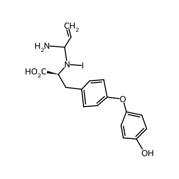 C=CC(N)N(I)[C@@H](Cc1ccc(Oc2ccc(O)cc2)cc1)C(=O)O